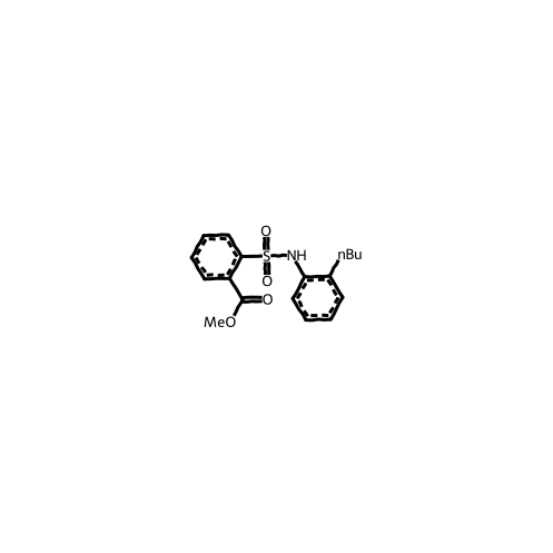 CCCCc1ccccc1NS(=O)(=O)c1ccccc1C(=O)OC